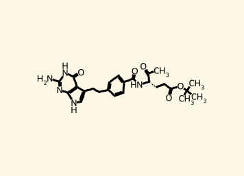 CC(=O)[C@H](CCC(=O)OC(C)(C)C)NC(=O)c1ccc(CCc2c[nH]c3nc(N)[nH]c(=O)c23)cc1